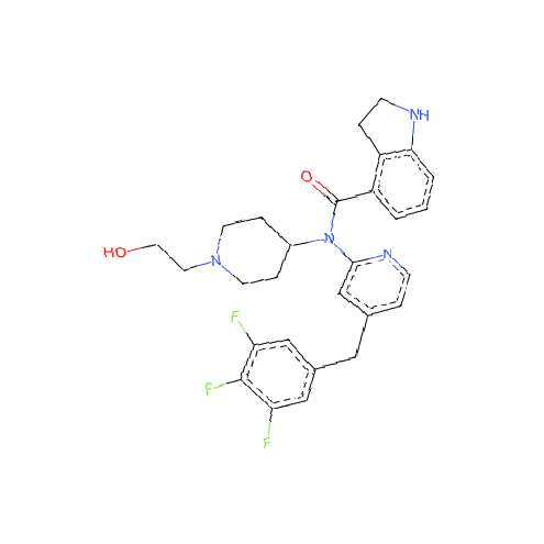 O=C(c1cccc2c1CCN2)N(c1cc(Cc2cc(F)c(F)c(F)c2)ccn1)C1CCN(CCO)CC1